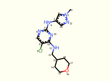 Cn1cc(Nc2ncc(Cl)c(NCC3CCOCC3)n2)cn1